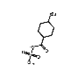 CC(C)(C)C1CCC(C(=O)NS(C)(=O)=O)CC1